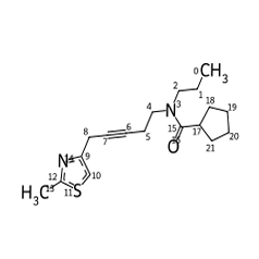 CCCN(CCC#CCc1csc(C)n1)C(=O)C1CCCC1